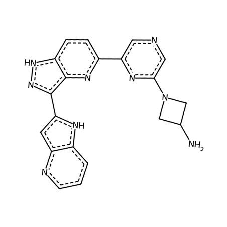 NC1CN(c2cncc(-c3ccc4[nH]nc(-c5cc6ncccc6[nH]5)c4n3)n2)C1